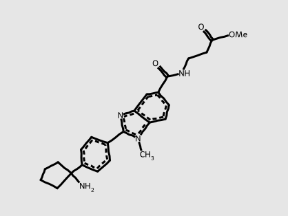 COC(=O)CCNC(=O)c1ccc2c(c1)nc(-c1ccc(C3(N)CCCC3)cc1)n2C